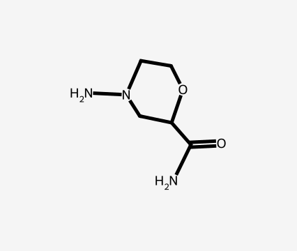 NC(=O)C1CN(N)CCO1